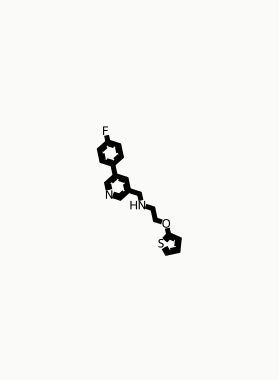 Fc1ccc(-c2cncc(CNCCOc3cccs3)c2)cc1